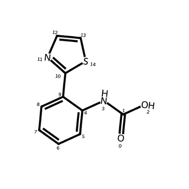 O=C(O)Nc1ccccc1-c1nccs1